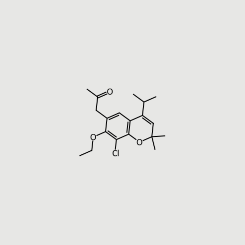 CCOc1c(CC(C)=O)cc2c(c1Cl)OC(C)(C)C=C2C(C)C